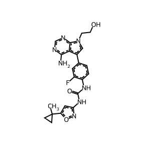 CC1(c2cc(NC(=O)Nc3ccc(-c4cn(CCO)c5ncnc(N)c45)cc3F)no2)CC1